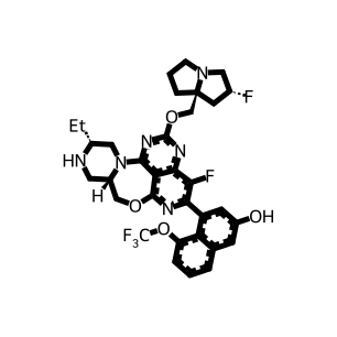 CC[C@@H]1CN2c3nc(OC[C@@]45CCCN4C[C@H](F)C5)nc4c(F)c(-c5cc(O)cc6cccc(OC(F)(F)F)c56)nc(c34)OC[C@@H]2CN1